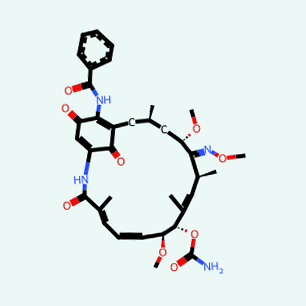 CO/N=C1/[C@@H](OC)C[C@H](C)CC2=C(NC(=O)c3ccccc3)C(=O)C=C(NC(=O)/C(C)=C/C=C\[C@H](OC)[C@@H](OC(N)=O)/C(C)=C/[C@@H]1C)C2=O